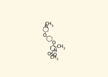 Cc1nc(S(C)(=O)=O)ccc1OC1CCC(OC2CCN(C)CC2)CC1